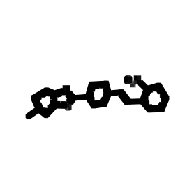 Cc1ccc2nc(-c3ccc(C=Cc4ccccc4[N+](=O)[O-])cc3)sc2c1